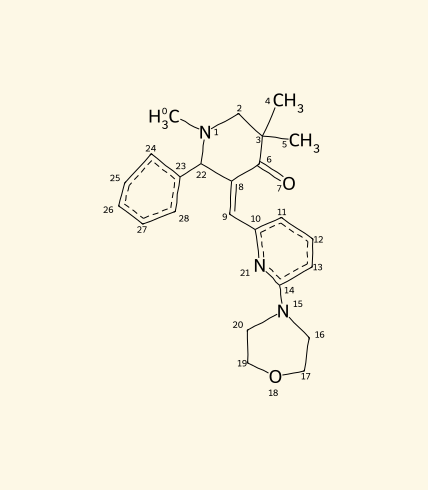 CN1CC(C)(C)C(=O)C(=Cc2cccc(N3CCOCC3)n2)C1c1ccccc1